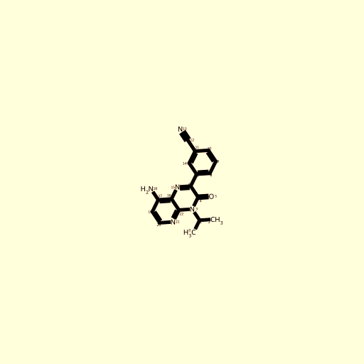 CC(C)n1c(=O)c(-c2cccc(C#N)c2)nc2c(N)ccnc21